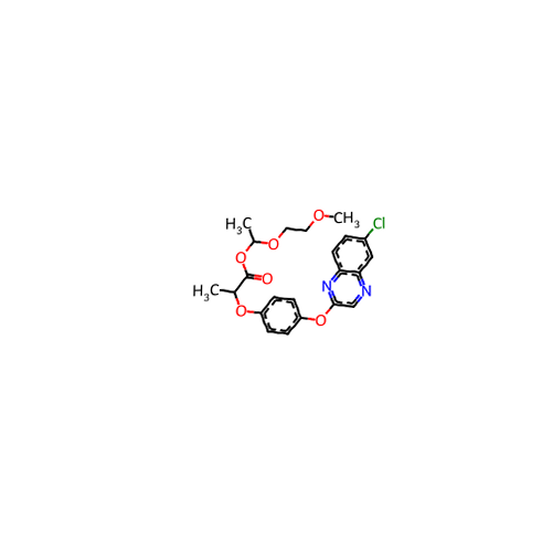 COCCOC(C)OC(=O)C(C)Oc1ccc(Oc2cnc3cc(Cl)ccc3n2)cc1